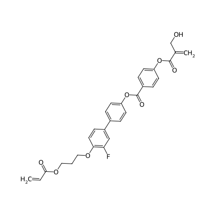 C=CC(=O)OCCCOc1ccc(-c2ccc(OC(=O)c3ccc(OC(=O)C(=C)CO)cc3)cc2)cc1F